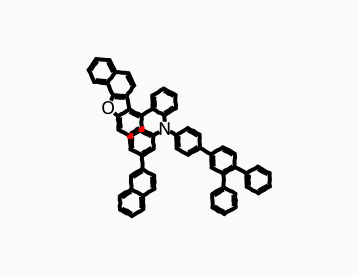 c1ccc(-c2ccc(-c3ccc(N(c4cccc(-c5ccc6ccccc6c5)c4)c4ccccc4-c4cccc5oc6c7ccccc7ccc6c45)cc3)cc2-c2ccccc2)cc1